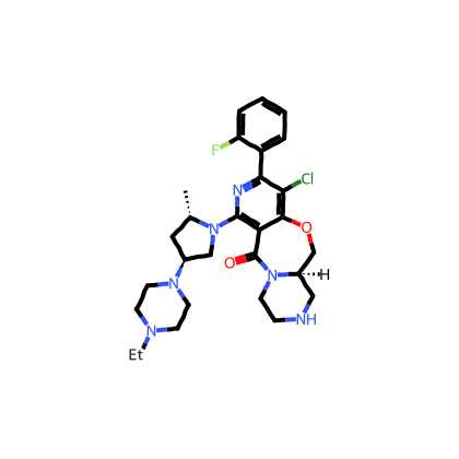 CCN1CCN([C@H]2C[C@H](C)N(c3nc(-c4ccccc4F)c(Cl)c4c3C(=O)N3CCNC[C@@H]3CO4)C2)CC1